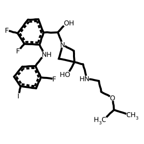 CC(C)OCCNCC1(O)CN(C(O)c2ccc(F)c(F)c2Nc2ccc(I)cc2F)C1